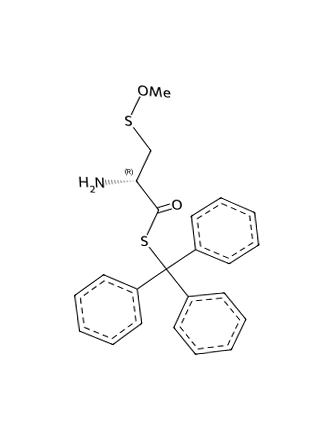 COSC[C@@H](N)C(=O)SC(c1ccccc1)(c1ccccc1)c1ccccc1